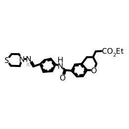 CCOC(=O)CC1COc2ccc(C(=O)Nc3ccc(/C=N/N4CCSCC4)cc3)cc2C1